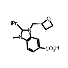 CC(C)C1N(C)c2ccc(C(=O)O)cc2N1C[C@@H]1CCO1